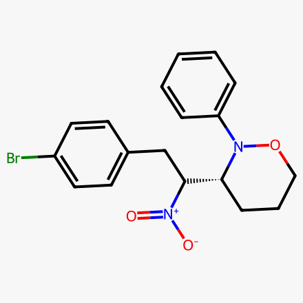 O=[N+]([O-])C(Cc1ccc(Br)cc1)[C@H]1CCCON1c1ccccc1